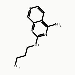 CCCCNc1nc(N)c2ccncc2n1